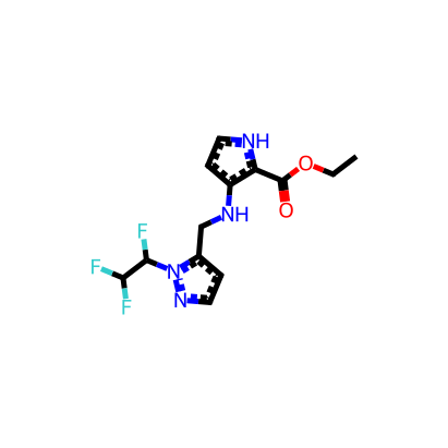 CCOC(=O)c1[nH]ccc1NCc1ccnn1C(F)C(F)F